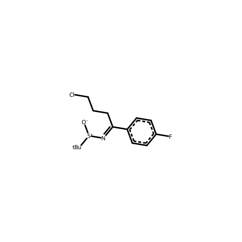 CC(C)(C)[S+]([O-])N=C(CCCCl)c1ccc(F)cc1